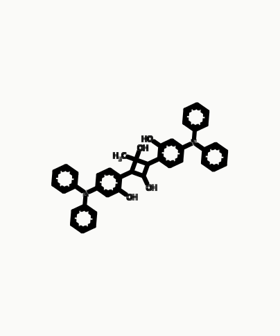 CC1(O)C(c2ccc(N(c3ccccc3)c3ccccc3)cc2O)C(O)C1c1ccc(N(c2ccccc2)c2ccccc2)cc1O